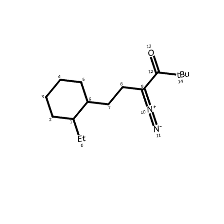 CCC1CCCCC1CCC(=[N+]=[N-])C(=O)C(C)(C)C